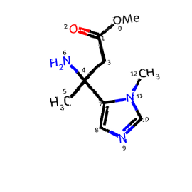 COC(=O)CC(C)(N)c1cncn1C